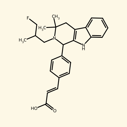 CC(CF)CN1C(c2ccc(C=CC(=O)O)cc2)c2[nH]c3ccccc3c2CC1(C)C